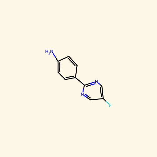 Nc1ccc(-c2ncc(F)cn2)cc1